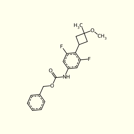 COC1(C)CC(c2c(F)cc(NC(=O)OCc3ccccc3)cc2F)C1